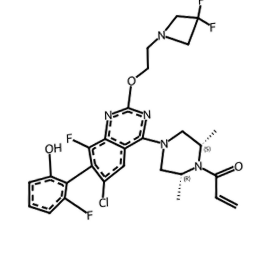 C=CC(=O)N1[C@H](C)CN(c2nc(OCCN3CC(F)(F)C3)nc3c(F)c(-c4c(O)cccc4F)c(Cl)cc23)C[C@@H]1C